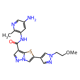 COCCn1cc(-c2cn3ncc(C(=O)Nc4cc(N)cnc4C)c3s2)cn1